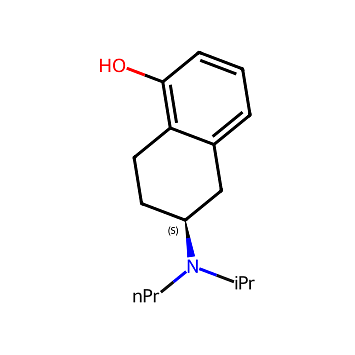 CCCN(C(C)C)[C@H]1CCc2c(O)cccc2C1